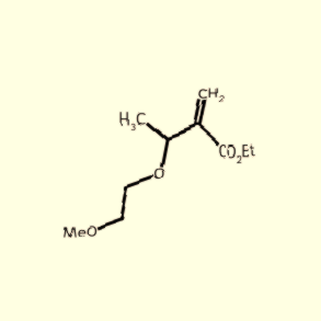 C=C(C(=O)OCC)C(C)OCCOC